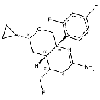 NC1=N[C@@]2(c3ccc(F)cc3F)CO[C@@H](C3CC3)C[C@H]2[C@@H](CF)S1